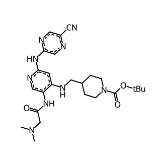 CN(C)CC(=O)Nc1cnc(Nc2cnc(C#N)cn2)cc1NCC1CCN(C(=O)OC(C)(C)C)CC1